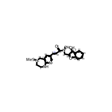 CSN1CCNc2ncc(/C=C/C(=O)N(C)Cc3oc4ccccc4c3C)cc2C1